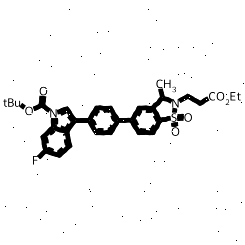 CCOC(=O)CCN1C(C)c2cc(-c3ccc(-c4cn(C(=O)OC(C)(C)C)c5cc(F)ccc45)cc3)ccc2S1(=O)=O